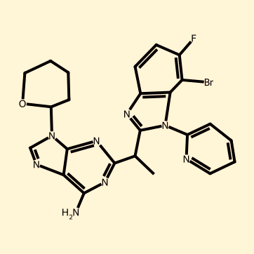 CC(c1nc(N)c2ncn(C3CCCCO3)c2n1)c1nc2ccc(F)c(Br)c2n1-c1ccccn1